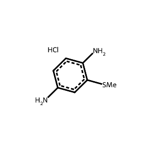 CSc1cc(N)ccc1N.Cl